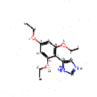 CCOc1cc(OCC)c(-c2cn[c][nH]2)c(OCC)c1